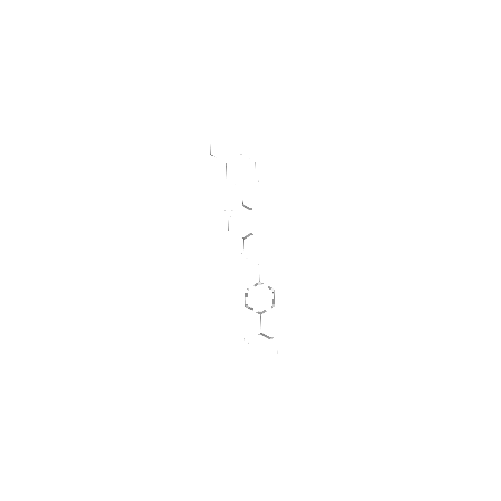 CC[C@H]1CCN[C@@H](C(=O)N[C@@H](C)C(=O)NCc2ccc(/C(N)=N/O)cc2)C1